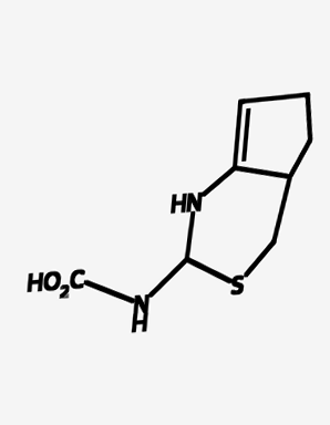 O=C(O)NC1NC2=CCCC2CS1